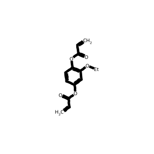 C=CC(=O)Oc1ccc(OC(=O)C=C)c(OCC)c1